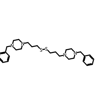 c1ccc(CN2CCN(CCCSSCCCN3CCN(Cc4ccccc4)CC3)CC2)cc1